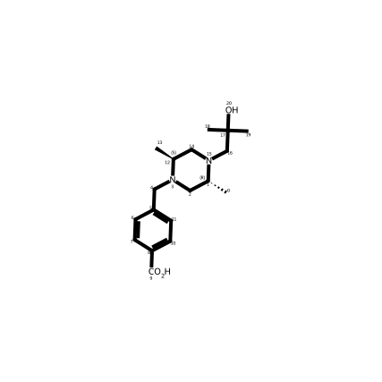 C[C@@H]1CN(Cc2ccc(C(=O)O)cc2)[C@@H](C)CN1CC(C)(C)O